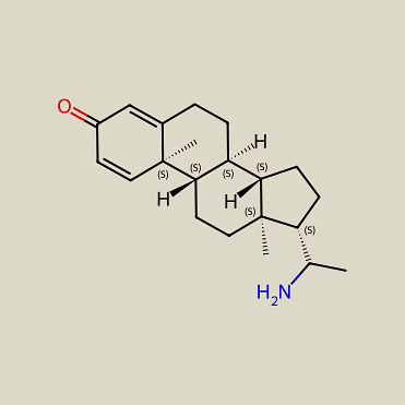 CC(N)[C@H]1CC[C@H]2[C@@H]3CCC4=CC(=O)C=C[C@]4(C)[C@H]3CC[C@]12C